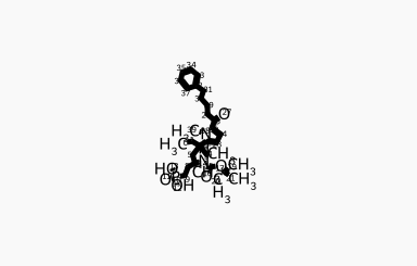 CCC(CC)(C[C@](C)(CCP(=O)(O)O)NC(=O)OC(C)(C)C)c1ccc(C(=O)CCCCc2ccccc2)n1C